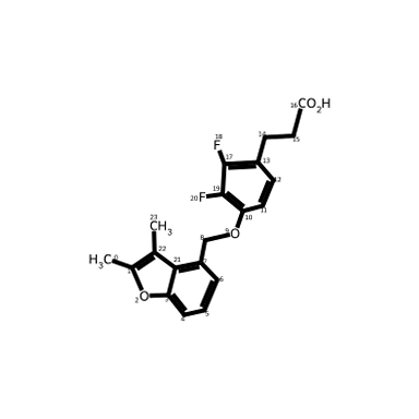 Cc1oc2cccc(COc3ccc(CCC(=O)O)c(F)c3F)c2c1C